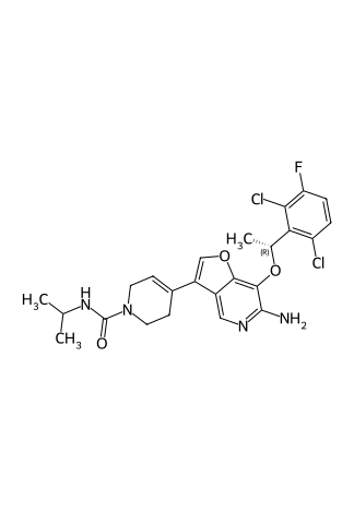 CC(C)NC(=O)N1CC=C(c2coc3c(O[C@H](C)c4c(Cl)ccc(F)c4Cl)c(N)ncc23)CC1